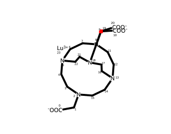 O=C([O-])CN1CCN2CCN(CC(=O)[O-])CCN(CC1)CCN(CC(=O)[O-])CC2.[Lu+3]